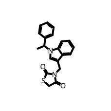 CC(c1ccccc1)n1cc(CN2C(=O)CSC2=O)c2ccccc21